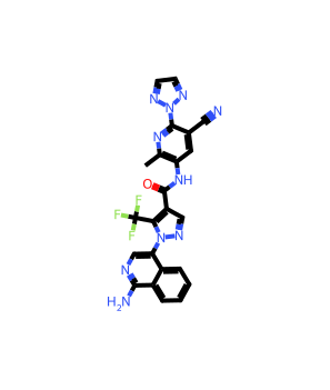 Cc1nc(-n2nccn2)c(C#N)cc1NC(=O)c1cnn(-c2cnc(N)c3ccccc23)c1C(F)(F)F